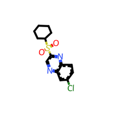 O=S(=O)(c1cnc2cc(Cl)ccc2n1)C1CCCCC1